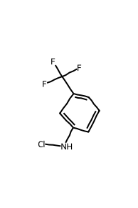 FC(F)(F)c1cccc(NCl)c1